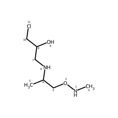 CNOCC(C)NCC(O)CCl